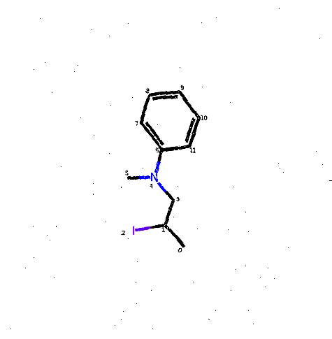 CC(I)CN(C)c1ccccc1